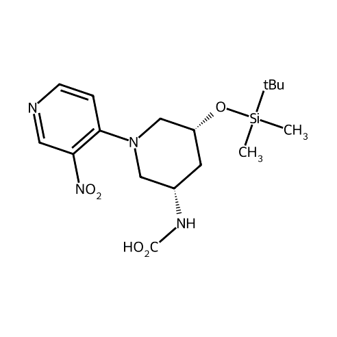 CC(C)(C)[Si](C)(C)O[C@@H]1C[C@H](NC(=O)O)CN(c2ccncc2[N+](=O)[O-])C1